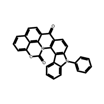 O=c1c2ccc3cccc4oc(=O)n(c2c34)c2c1ccc1c2c2ccccc2n1-c1ccccc1